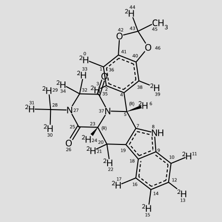 [2H]c1c([2H])c([C@]2([2H])c3[nH]c4c([2H])c([2H])c([2H])c([2H])c4c3C([2H])([2H])[C@]3([2H])C(=O)N(C([2H])([2H])[2H])C([2H])([2H])C(=O)N23)c([2H])c2c1OC([2H])(C)O2